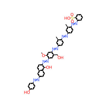 COc1cc(N=Nc2ccc(N=Nc3ccc(N=Nc4ccccc4S(=O)(=O)O)c(C)c3)c(C)c2)c(CO)cc1N=Nc1ccc2cc(N=Nc3ccc(O)cc3)ccc2c1O